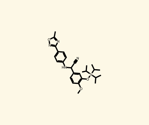 COc1ccc(C(C#N)Nc2ccc(-c3noc(C)n3)cc2)cc1O[Si](C(C)C)(C(C)C)C(C)C